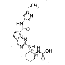 CCn1cc(NC(=O)c2ccc3cnc(N[C@@H]4CCCC[C@@H]4NC(=O)O)nn23)cn1